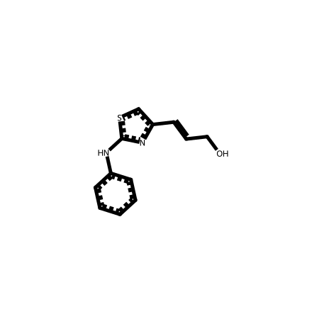 OCC=Cc1csc(Nc2ccccc2)n1